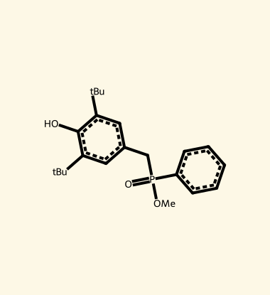 COP(=O)(Cc1cc(C(C)(C)C)c(O)c(C(C)(C)C)c1)c1ccccc1